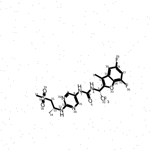 Cc1c([C@@H](NC(=O)Nc2cnc(N[C@H](C)CS(C)(=O)=O)nc2)C(F)(F)F)oc2c(F)cc(F)cc12